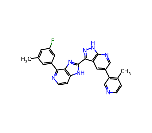 Cc1cc(F)cc(-c2nccc3[nH]c(-c4n[nH]c5ncc(-c6cnccc6C)cc45)nc23)c1